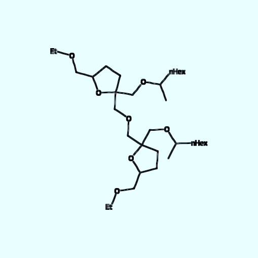 CCCCCCC(C)OCC1(COCC2(COC(C)CCCCCC)CCC(COCC)O2)CCC(COCC)O1